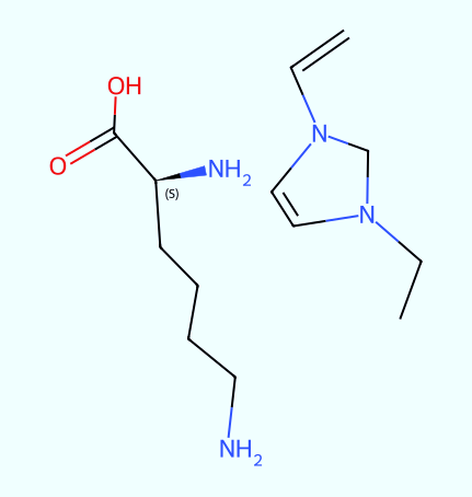 C=CN1C=CN(CC)C1.NCCCC[C@H](N)C(=O)O